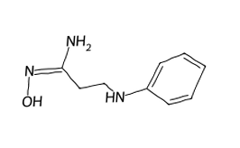 N/C(CCNc1ccccc1)=N/O